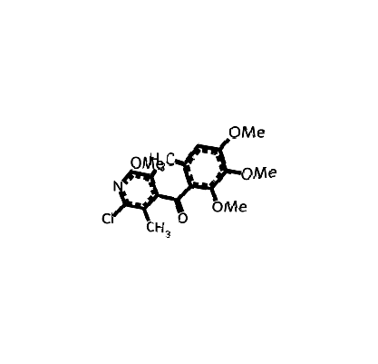 COc1cc(C)c(C(=O)c2c(OC)cnc(Cl)c2C)c(OC)c1OC